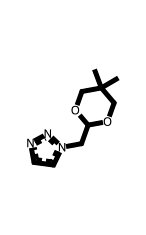 CC1(C)COC(Cn2ccnn2)OC1